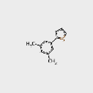 Cc1[c]c(C)cc(-c2cccs2)c1